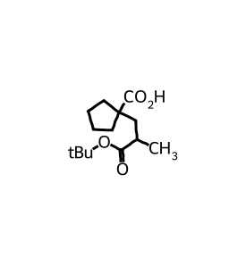 CC(CC1(C(=O)O)CCCC1)C(=O)OC(C)(C)C